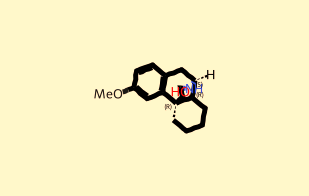 COc1ccc2c(c1)[C@]13CCCC[C@]1(O)[C@H](C2)NCC3